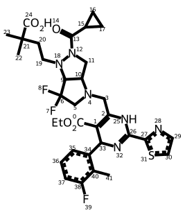 CCOC(=O)C1=C(CN2CC(F)(F)C3C2CN(C(=O)C2CC2)N3CCC(C)(C)C(=O)O)NC(c2nccs2)=NC1c1cccc(F)c1C